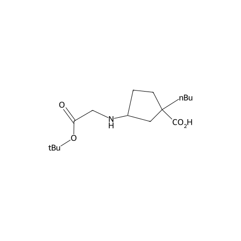 CCCCC1(C(=O)O)CCC(NCC(=O)OC(C)(C)C)C1